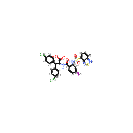 O=C(NC(C(=O)O)C(c1ccc(Cl)cc1)c1ccc(Cl)cc1)c1ccc(I)cc1NS(=O)(=O)c1cccc2nsnc12